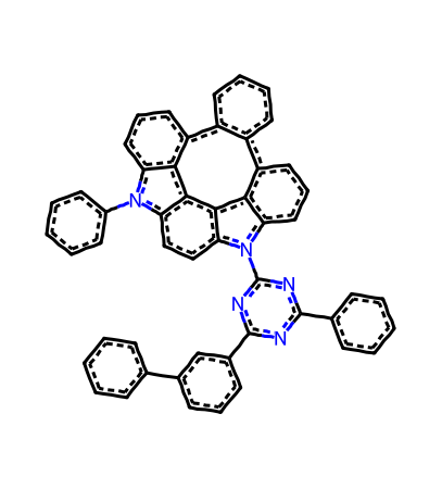 c1ccc(-c2cccc(-c3nc(-c4ccccc4)nc(-n4c5cccc6c7ccccc7c7cccc8c7c7c(c65)c4ccc7n8-c4ccccc4)n3)c2)cc1